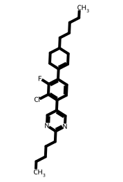 CCCCCc1ncc(-c2ccc(C3=CCC(CCCCC)CC3)c(F)c2Cl)cn1